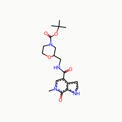 Cn1cc(C(=O)NCC2CN(C(=O)OC(C)(C)C)CCO2)c2cc[nH]c2c1=O